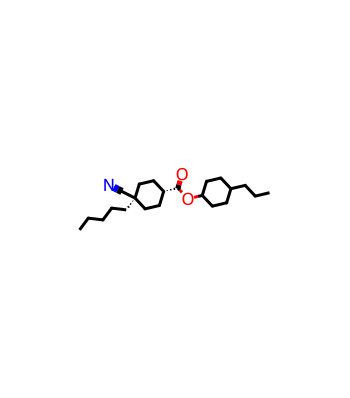 CCCCC[C@]1(C#N)CC[C@H](C(=O)OC2CCC(CCC)CC2)CC1